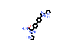 NC(=O)c1nc([C@@H]2CCCN2)[nH]c1-c1ccc(-c2ccc(-c3cnc([C@@H]4CCCN4)[nH]3)cc2)cc1